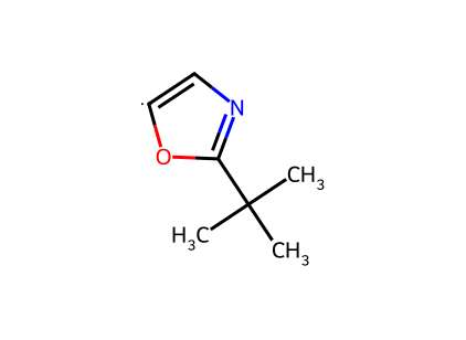 CC(C)(C)c1nc[c]o1